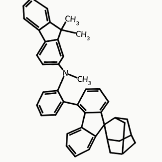 CN(c1ccc2c(c1)C(C)(C)c1ccccc1-2)c1ccccc1-c1cccc2c1-c1ccccc1C21C2CC3CC(C2)CC1C3